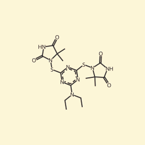 CCN(CC)c1nc(SN2C(=O)NC(=O)C2(C)C)nc(SN2C(=O)NC(=O)C2(C)C)n1